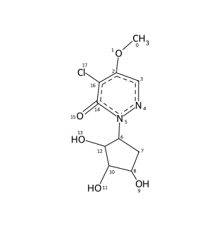 COc1cnn(C2CC(O)C(O)C2O)c(=O)c1Cl